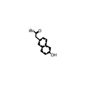 CCC(C)C(=O)Cc1ccc2cc(O)ccc2c1